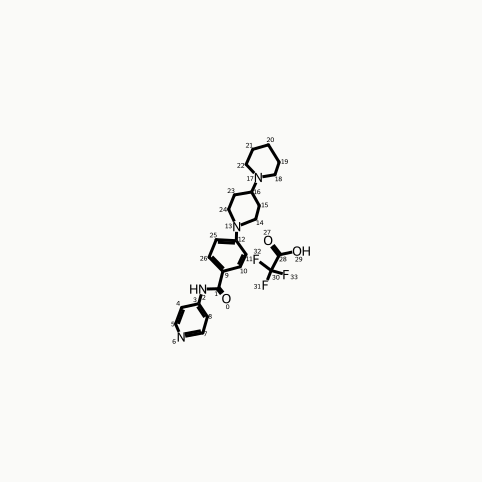 O=C(Nc1ccncc1)c1ccc(N2CCC(N3CCCCC3)CC2)cc1.O=C(O)C(F)(F)F